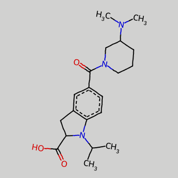 CC(C)N1c2ccc(C(=O)N3CCCC(N(C)C)C3)cc2CC1C(=O)O